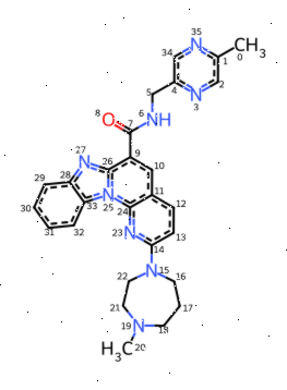 Cc1cnc(CNC(=O)c2cc3ccc(N4CCCN(C)CC4)nc3n3c2nc2ccccc23)cn1